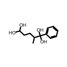 CC(CCC(O)O)C(O)(O)c1ccccc1